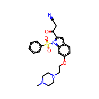 CN1CCN(CCOc2ccc3cc(C(=O)CC#N)n(S(=O)(=O)c4ccccc4)c3c2)CC1